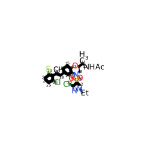 CCn1cc(S(=O)(=O)N2C[C@H]([C@@H](C)NC(C)=O)Oc3ccc(C=C(C)c4c(F)cccc4Cl)cc32)c(Cl)n1